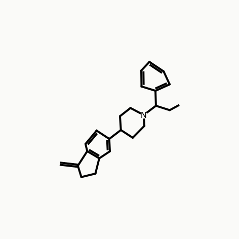 C=C1CCc2cc(C3CCN(C(CC)c4ccccc4)CC3)ccc21